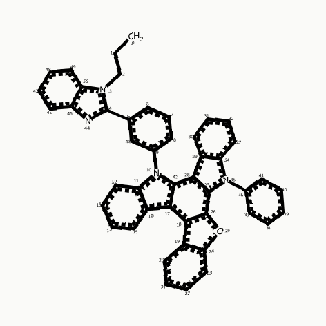 CCCn1c(-c2cccc(-n3c4ccccc4c4c5c6ccccc6oc5c5c(c6ccccc6n5-c5ccccc5)c43)c2)nc2ccccc21